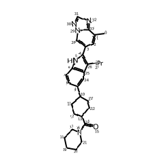 Cc1cc(-c2[nH]c3ccc(C4CCC(C(=O)N5CCCCC5)CC4)cc3c2C(C)C)cn2ncnc12